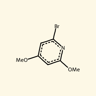 COc1cc(Br)nc(OC)c1